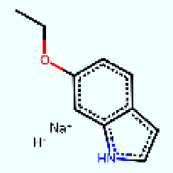 CCOc1ccc2cc[nH]c2c1.[H-].[Na+]